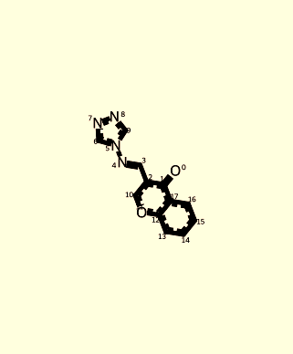 O=c1c(/C=N/n2cnnc2)coc2ccccc12